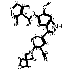 COc1cc2[nH]nc(-c3cnc(N4CC5(COC5)C4)c(C#N)c3)c2cc1OC(C)c1c(C)cnnc1C